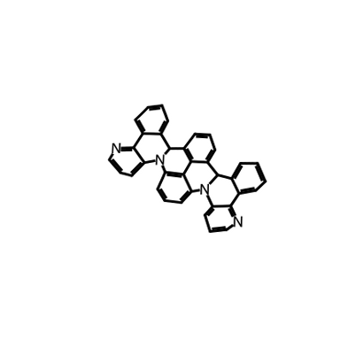 c1ccc2c(c1)-c1ncccc1N1c3cccc4c3-c3c(cccc3C3c5ccccc5-c5ncccc5N43)C21